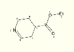 CCOC(=O)C1CC=NCC1